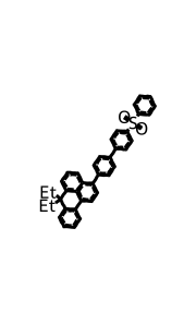 CCC1(CC)c2ccccc2-c2ccc(-c3ccc(-c4ccc(S(=O)(=O)c5ccccc5)cc4)cc3)c3cccc1c23